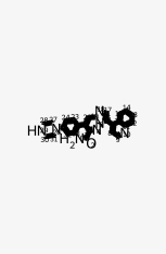 NC(=O)c1nn2c(-c3ccnc4ccccc34)cnc2cc1-c1ccc(N2CCNCC2)cc1